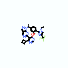 CCn1cc(C(F)(F)F)nc1-c1ccc([C@H](C)n2ncc3cnc(-c4c(OC)ncnc4C4CCC4)nc32)cc1